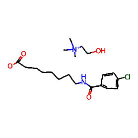 C[N+](C)(C)CCO.O=C([O-])CCCCCCCNC(=O)c1ccc(Cl)cc1